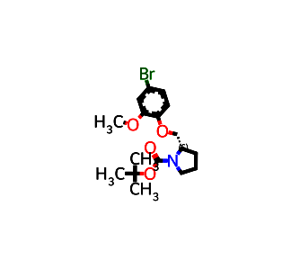 COc1cc(Br)ccc1OC[C@@H]1CCCN1C(=O)OC(C)(C)C